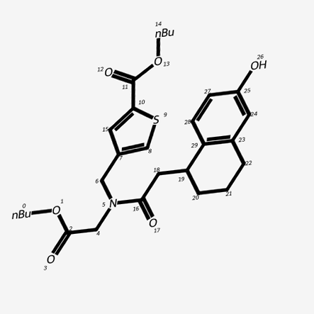 CCCCOC(=O)CN(Cc1csc(C(=O)OCCCC)c1)C(=O)CC1CCCc2cc(O)ccc21